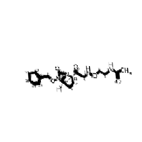 CC(=O)NCCONCC(=O)[C@@H]1CC[C@@H]2CN1C(=O)N2OCc1ccccc1